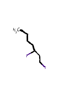 CCCCC(I)CCI